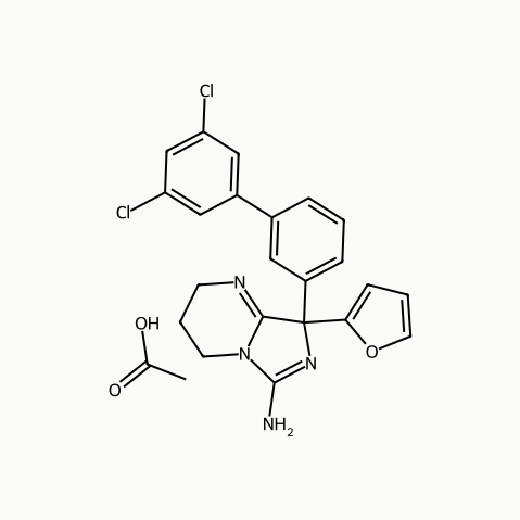 CC(=O)O.NC1=NC(c2cccc(-c3cc(Cl)cc(Cl)c3)c2)(c2ccco2)C2=NCCCN12